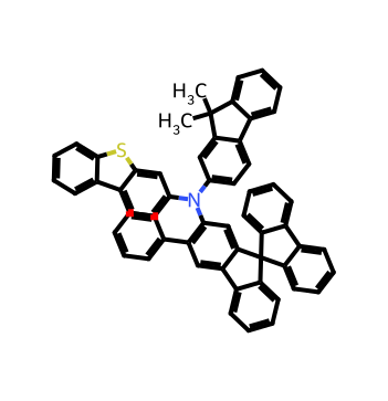 CC1(C)c2ccccc2-c2ccc(N(c3ccc4c(c3)sc3ccccc34)c3cc4c(cc3-c3ccccc3)-c3ccccc3C43c4ccccc4-c4ccccc43)cc21